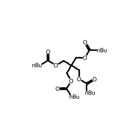 CCCCC(=O)OCC(COC(=O)CCCC)(COC(=O)CCCC)COC(=O)CCCC